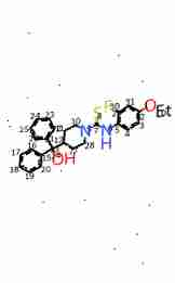 CCOc1ccc(NC(=S)N2CCC(C(O)(c3ccccc3)c3ccccc3)CC2)c(F)c1